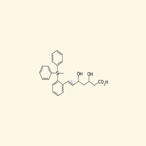 C[Si](c1ccccc1)(c1ccccc1)c1ccccc1/C=C/C(O)CC(O)CC(=O)O